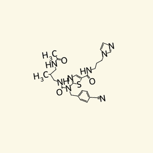 CC(=O)NCC(C)CNC(=O)N(Cc1ccc(C#N)cc1)c1ncc(C(=O)NCCCn2ccnc2)s1